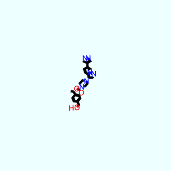 CC(OC(=O)N1CCN(c2cnn3cc(-c4cnn(C)c4)ccc23)CC1)c1ccc(CO)cc1